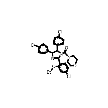 CCOc1cc(Cl)ccc1C1=NC(c2ccc(Cl)cc2)C(c2ccc(Cl)cc2)N1C(=O)N1CCOCC1